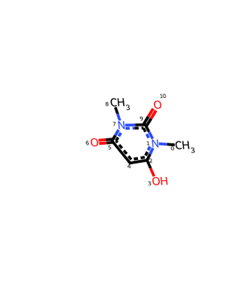 Cn1c(O)cc(=O)n(C)c1=O